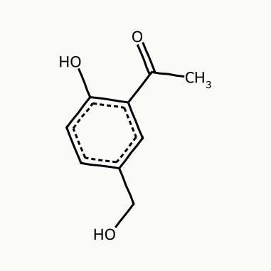 CC(=O)c1cc(CO)ccc1O